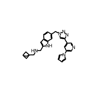 c1ccn(-c2cncc(-c3cn(Cc4ccc5cc(CNCC67CC(C6)C7)[nH]c5c4)nn3)c2)c1